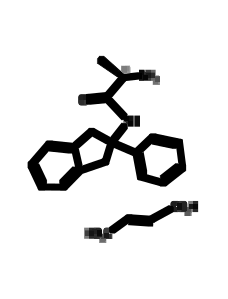 C[C@@H](N)C(=O)NC1(c2ccccc2)Cc2ccccc2C1.O=C(O)C=CC(=O)O